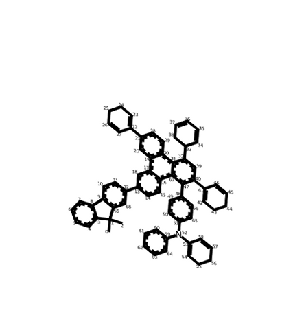 CC1(C)c2ccccc2-c2ccc(-c3ccc4c(c3)c3cc(C5=CCCC=C5)ccc3c3c(C5C=CC=CC5)cc(C5=CCCC=C5)c(-c5ccc(N(C6=CCCC=C6)c6ccccc6)cc5)c43)cc21